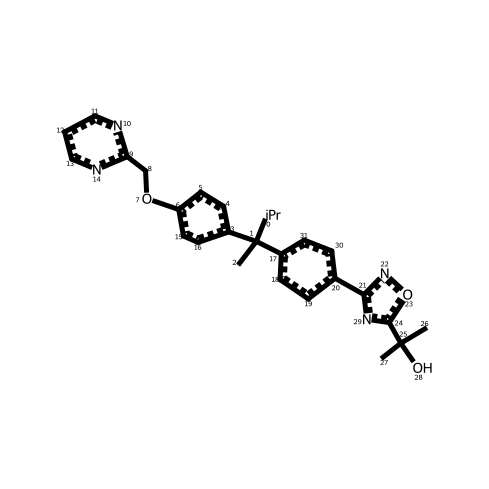 CC(C)C(C)(c1ccc(OCc2ncccn2)cc1)c1ccc(-c2noc(C(C)(C)O)n2)cc1